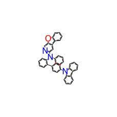 c1ccc(N(c2cc3c(cn2)oc2ccccc23)c2ccccc2-c2ccc(-n3c4ccccc4c4ccccc43)cc2)cc1